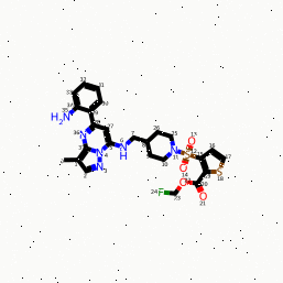 Cc1cnn2c(NCC3CCN(S(=O)(=O)c4ccsc4C(=O)OCF)CC3)cc(-c3ccccc3N)nc12